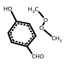 COOC.O=Cc1ccc(O)cc1